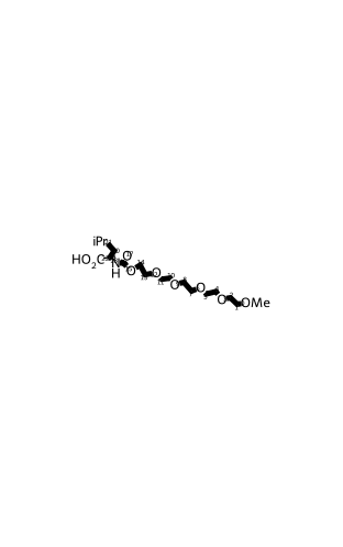 COCCOCCOCCOCCOCCOC(=O)N[C@@H](CC(C)C)C(=O)O